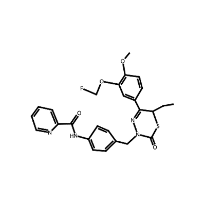 CCC1SC(=O)N(Cc2ccc(NC(=O)c3ccccn3)cc2)N=C1c1ccc(OC)c(OCF)c1